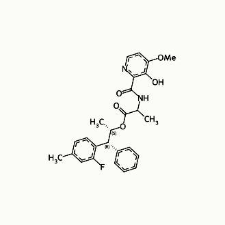 COc1ccnc(C(=O)NC(C)C(=O)O[C@@H](C)[C@H](c2ccccc2)c2ccc(C)cc2F)c1O